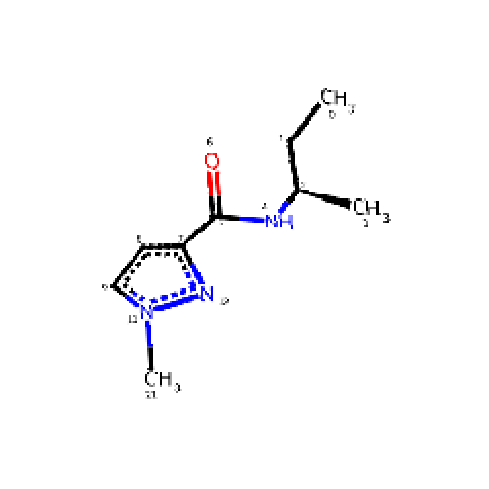 CC[C@@H](C)NC(=O)c1ccn(C)n1